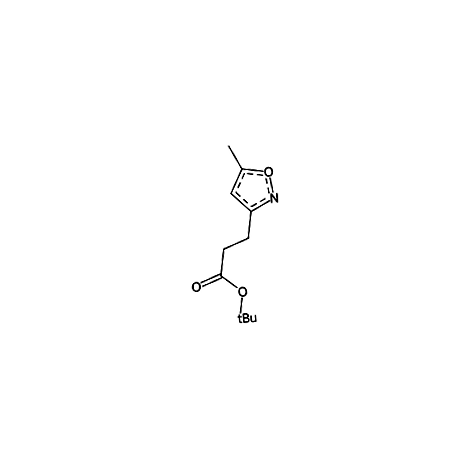 Cc1cc(CCC(=O)OC(C)(C)C)no1